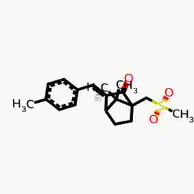 Cc1ccc(/C=C2/C(=O)C3(CS(C)(=O)=O)CCC2C3(C)C)cc1